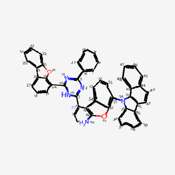 C/C=C(/C1=NC(c2ccccc2)=NC(c2cccc3c2oc2ccccc23)N1)c1c(N)oc2c(-n3c4ccccc4c4ccc5ccccc5c43)cccc12